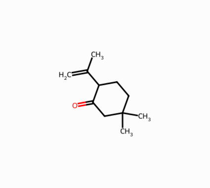 C=C(C)C1CCC(C)(C)CC1=O